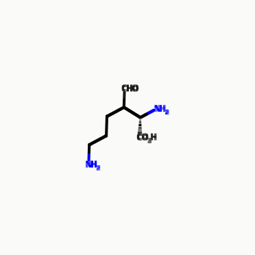 NCCCC(C=O)[C@H](N)C(=O)O